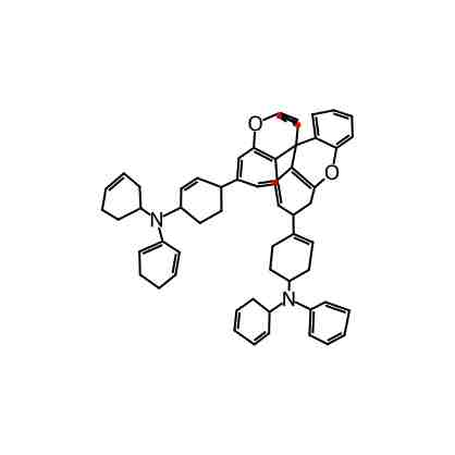 C1=CCC(N(c2ccccc2)C2CC=C(C3C=CC4=C(C3)Oc3ccccc3C43c4ccccc4Oc4cc(C5C=CC(N(C6=CCCC=C6)C6CC=CCC6)CC5)ccc43)CC2)C=C1